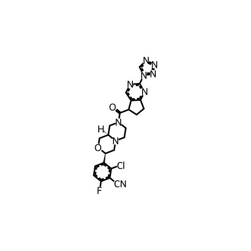 N#Cc1c(F)ccc([C@@H]2CN3CCN(C(=O)C4CCc5nc(-n6cnnn6)ncc54)C[C@@H]3CO2)c1Cl